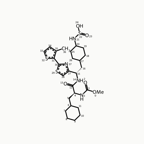 COC(=O)N[C@@H](CC1CCCCC1)C(=O)N[C@@H](CC1CCC(NS(=O)O)CC1)c1csc(-c2sccc2C)n1